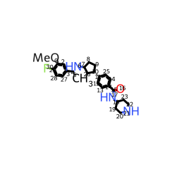 COc1cc([C@@H](C)NC2CC[C@H](c3ccc(C(=O)NC4CCNCC4)cc3)C2)ccc1F